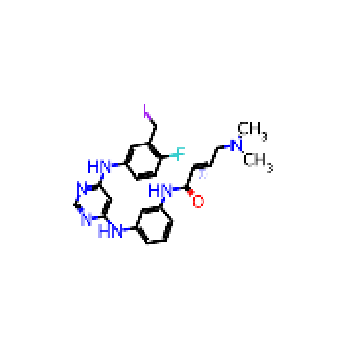 CN(C)C/C=C/C(=O)Nc1cccc(Nc2cc(Nc3ccc(F)c(CI)c3)ncn2)c1